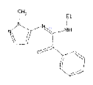 CCN/C(=N/c1ccnn1C)C(=O)c1ccccc1